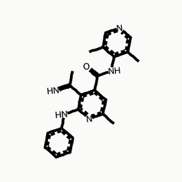 CC(=N)c1c(C(=O)Nc2c(C)cncc2C)cc(C)nc1Nc1ccccc1